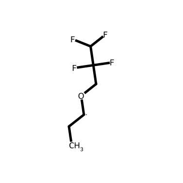 CC[CH]OCC(F)(F)C(F)F